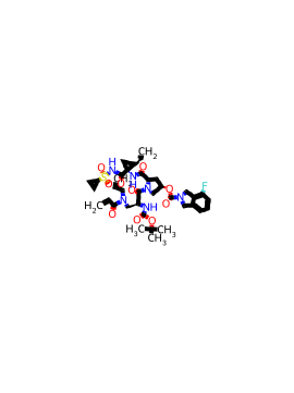 C=CCN(C[C@H](NC(=O)OC(C)(C)C)C(=O)N1C[C@H](OC(=O)N2Cc3cccc(F)c3C2)CC1C(=O)N[C@]1(C(=O)NS(=O)(=O)C2CC2)C[C@H]1C=C)C(=O)C=C